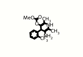 COC(=O)OC1=C(C)NC(C)=C(N)C1c1ccccc1C(F)(F)F